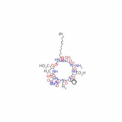 CC(C)CCCCCCCCCCC(=O)NC1COC(=O)C(C(C)CC(=O)O)NC(=O)C(C(O)CC(N)=O)NC(=O)C(CC(N)=O)N(C)C(=O)C(Cc2ccccc2)N(C)C(=O)C(CC(=O)O)NC(=O)C2C(N)ON2C(=O)C(CO)NC1=O